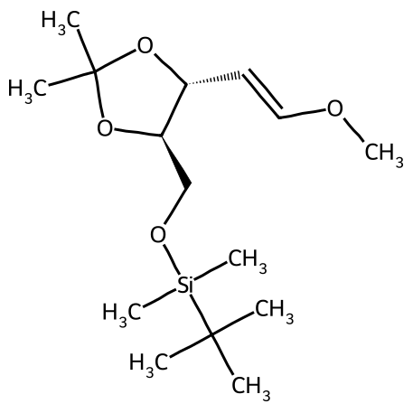 COC=C[C@H]1OC(C)(C)O[C@@H]1CO[Si](C)(C)C(C)(C)C